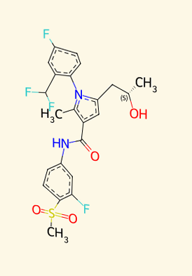 Cc1c(C(=O)Nc2ccc(S(C)(=O)=O)c(F)c2)cc(C[C@H](C)O)n1-c1ccc(F)cc1C(F)F